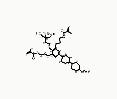 C=C(C)C(=O)OCCCc1cc(C2CCC(C3CCC(CCCCC)CC3)CC2)cc(CCCOC(=O)C(=C)C)c1OCCC(CO)(CO)CCCC